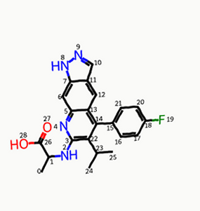 CC(Nc1nc2cc3[nH]ncc3cc2c(-c2ccc(F)cc2)c1C(C)C)C(=O)O